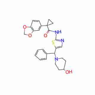 O=C(Nc1ncc(C(c2ccccc2)N2CCC(O)CC2)s1)C1(c2ccc3c(c2)OCO3)CC1